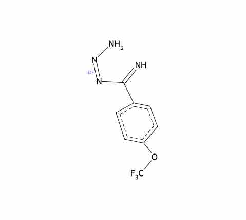 N=C(/N=N\N)c1ccc(OC(F)(F)F)cc1